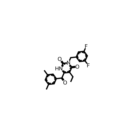 CCc1c(C(=O)c2cc(C)cc(C)c2)[nH]c(=O)n(Cc2cc(F)cc(F)c2)c1=O